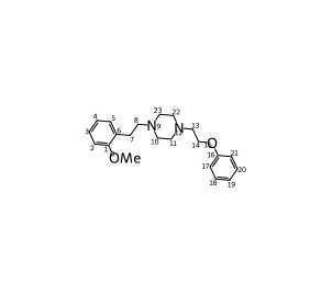 COc1ccccc1CCN1CCN(CCOc2ccccc2)CC1